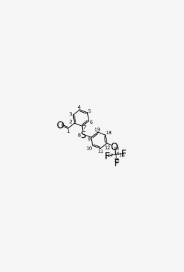 O=Cc1ccccc1Sc1ccc(OC(F)(F)F)cc1